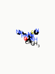 CCc1[nH]c2nc(Sc3cccnc3)nc(NCCCn3ccnc3)c2c1C(C)=O